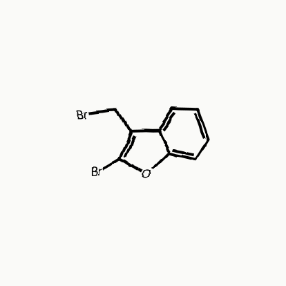 BrCc1c(Br)oc2ccccc12